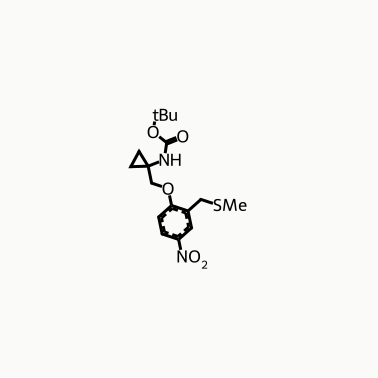 CSCc1cc([N+](=O)[O-])ccc1OCC1(NC(=O)OC(C)(C)C)CC1